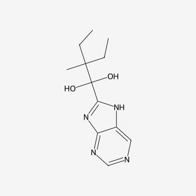 CCC(C)(CC)C(O)(O)c1nc2ncncc2[nH]1